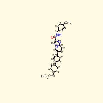 Cc1ccc(CNC(=O)c2cn3cc(-c4ccc(C5CCC(CC(=O)O)CC5)cc4)ccc3n2)cc1